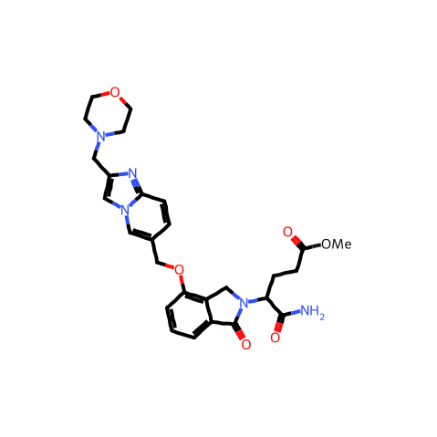 COC(=O)CCC(C(N)=O)N1Cc2c(OCc3ccc4nc(CN5CCOCC5)cn4c3)cccc2C1=O